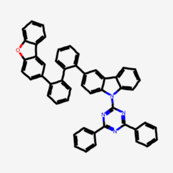 c1ccc(-c2nc(-c3ccccc3)nc(-n3c4ccccc4c4cc(-c5ccccc5-c5ccccc5-c5ccc6oc7ccccc7c6c5)ccc43)n2)cc1